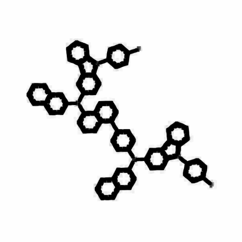 Fc1ccc(-n2c3ccccc3c3cc(N(c4ccc(-c5cccc6c(N(c7ccc8ccccc8c7)c7ccc8c(c7)c7ccccc7n8-c7ccc(F)cc7)cccc56)cc4)c4ccc5ccccc5c4)ccc32)cc1